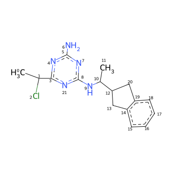 CC(Cl)c1nc(N)nc(NC(C)C2Cc3ccccc3C2)n1